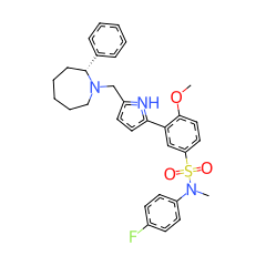 COc1ccc(S(=O)(=O)N(C)c2ccc(F)cc2)cc1-c1ccc(CN2CCCCC[C@@H]2c2ccccc2)[nH]1